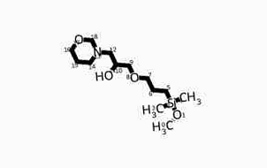 CO[Si](C)(C)CCCOCC(O)CN1CCCOC1